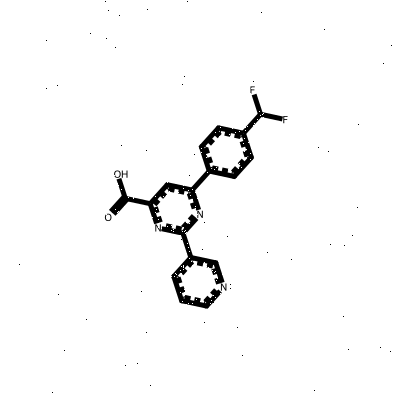 O=C(O)c1cc(-c2ccc(C(F)F)cc2)nc(-c2cccnc2)n1